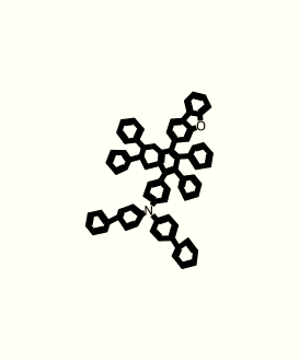 c1ccc(-c2ccc(N(c3ccc(-c4ccccc4)cc3)c3ccc(-c4c5c(c(-c6ccc7c(c6)oc6ccccc67)c(-c6ccccc6)c4-c4ccccc4)CC(c4ccccc4)C(c4ccccc4)C5)cc3)cc2)cc1